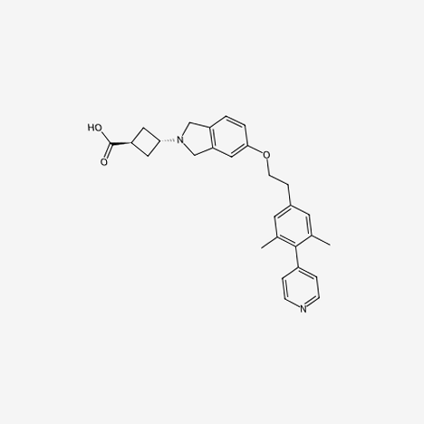 Cc1cc(CCOc2ccc3c(c2)CN([C@H]2C[C@H](C(=O)O)C2)C3)cc(C)c1-c1ccncc1